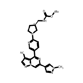 Cn1cc(-c2cn3ncc(C#N)c3c(-c3ccc(N4CC[C@@H](CNC(=O)OC(C)(C)C)C4)nc3)n2)cn1